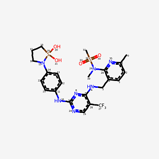 Cc1ccc(CNc2nc(Nc3ccc(N4CCCS4(O)O)cc3)ncc2C(F)(F)F)c(N(C)S(C)(=O)=O)n1